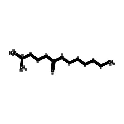 CCCCCCOC(=O)CCCC(C)C